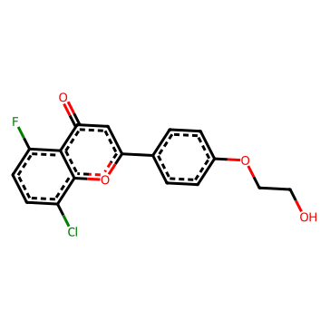 O=c1cc(-c2ccc(OCCO)cc2)oc2c(Cl)ccc(F)c12